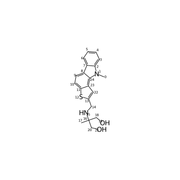 Cn1c2ccccc2c2ccc3sc(CNC(C)(CO)CO)cc3c21